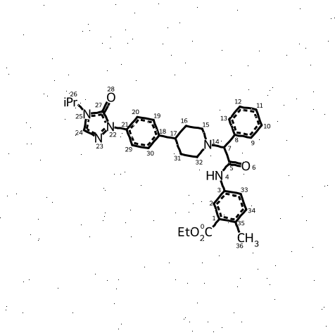 CCOC(=O)c1cc(NC(=O)C(c2ccccc2)N2CCC(c3ccc(-n4ncn(C(C)C)c4=O)cc3)CC2)ccc1C